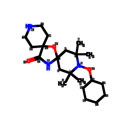 CC1(C)CC2(CC(C)(C)N1OC1CCCCC1)NC(=O)C1(CCNCC1)O2